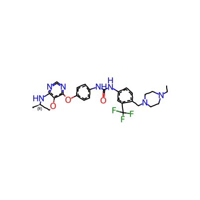 CCN1CCN(Cc2ccc(NC(=O)Nc3ccc(Oc4ncnc5c4OC[C@@H](C)N5)cc3)cc2C(F)(F)F)CC1